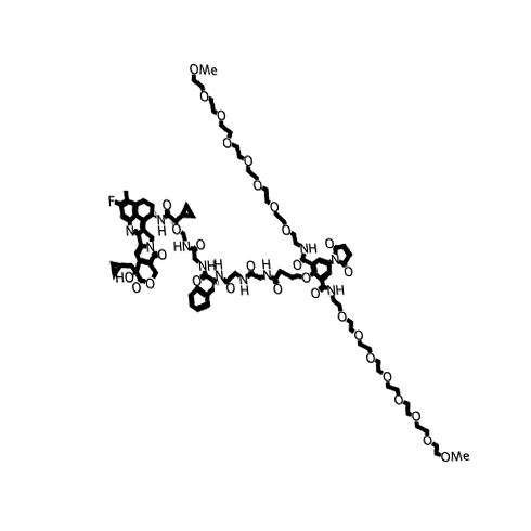 COCCOCCOCCOCCOCCOCCOCCOCCNC(=O)c1cc(N2C(=O)C=CC2=O)cc(C(=O)NCCOCCOCCOCCOCCOCCOCCOCCOC)c1OCCCC(=O)NCC(=O)NCC(=O)N[C@@H](Cc1ccccc1)C(=O)NCC(=O)NCO[C@@H](C(=O)N[C@H]1CCc2c(C)c(F)cc3nc4c(c1c23)Cn1c-4cc2c(c1=O)COC(=O)[C@]2(O)CC1CC1)C1CC1